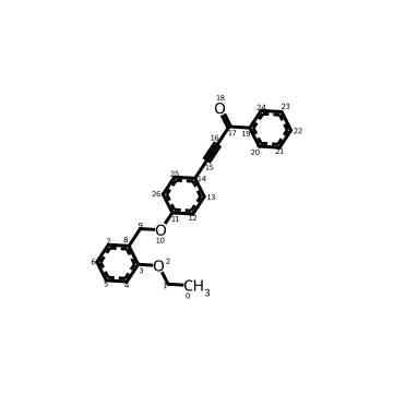 CCOc1ccccc1COc1ccc(C#CC(=O)c2ccccc2)cc1